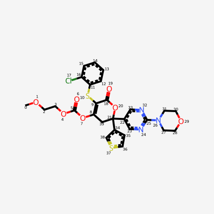 COCCOC(=O)OC1=C(Sc2ccccc2Cl)C(=O)OC(c2cnc(N3CCOCC3)nc2)(c2ccsc2)C1